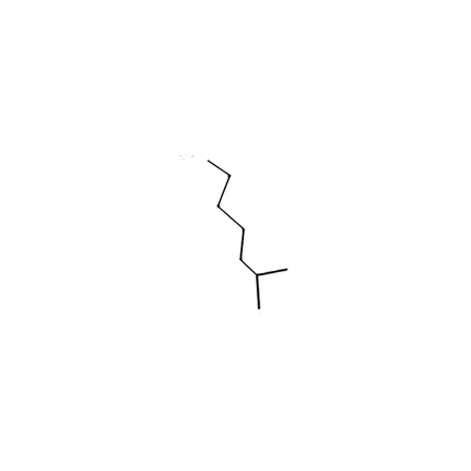 COCCCCC(C)C(C)=O